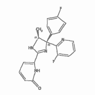 C[C@@H]1NC(c2cccc(=O)[nH]2)=N[C@@]1(c1ccc(F)cc1)c1ncccc1F